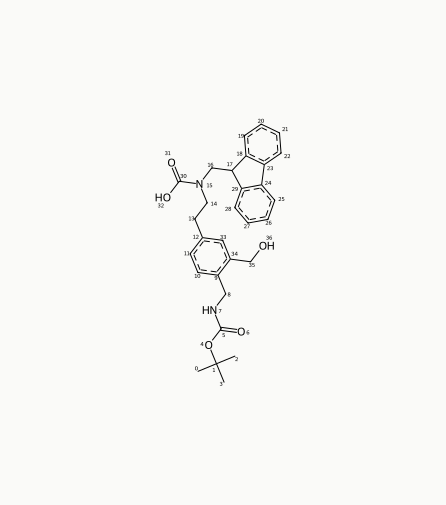 CC(C)(C)OC(=O)NCc1ccc(CCN(CC2c3ccccc3-c3ccccc32)C(=O)O)cc1CO